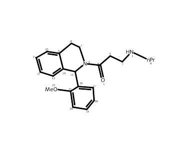 CCCNCCC(=O)N1CCc2ccccc2C1c1ccccc1OC